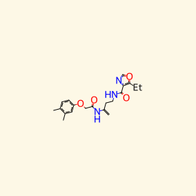 C=C(CCNC(=O)c1ncoc1CC)NC(=O)COc1ccc(C)c(C)c1